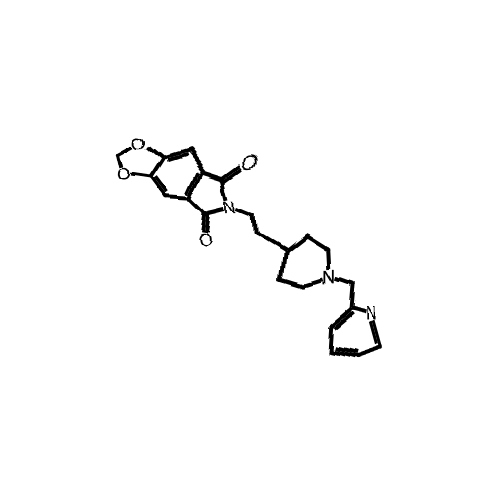 O=C1c2cc3c(cc2C(=O)N1CCC1CCN(Cc2ccccn2)CC1)OCO3